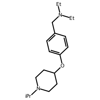 CCN(CC)Cc1ccc(OC2CCN(C(C)C)CC2)cc1